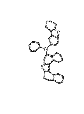 c1ccc(N(c2ccc3oc4ccccc4c3c2)c2cc3sc4ccc5ccccc5c4c3c3ccccc23)cc1